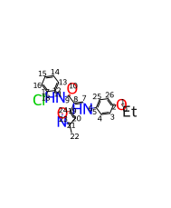 CCOc1ccc(NC=C(C(=O)Nc2ccccc2Cl)c2cc(C)no2)cc1